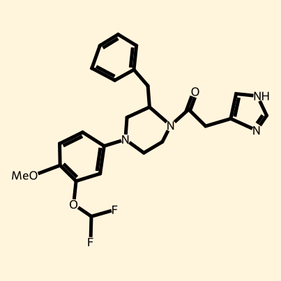 COc1ccc(N2CCN(C(=O)Cc3c[nH]cn3)C(Cc3ccccc3)C2)cc1OC(F)F